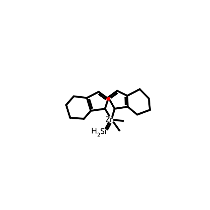 [CH3][Zr]([CH3])(=[SiH2])([CH]1C=CC2=C1CCCC2)[CH]1C=CC2=C1CCCC2